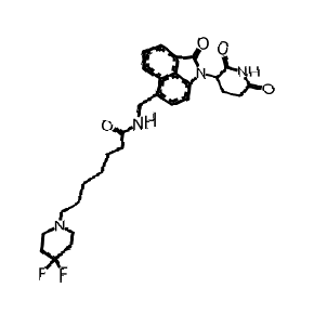 O=C(CCCCCCN1CCC(F)(F)CC1)NCc1ccc2c3c(cccc13)C(=O)N2C1CCC(=O)NC1=O